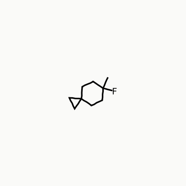 CC1(F)CCC2(CC1)CC2